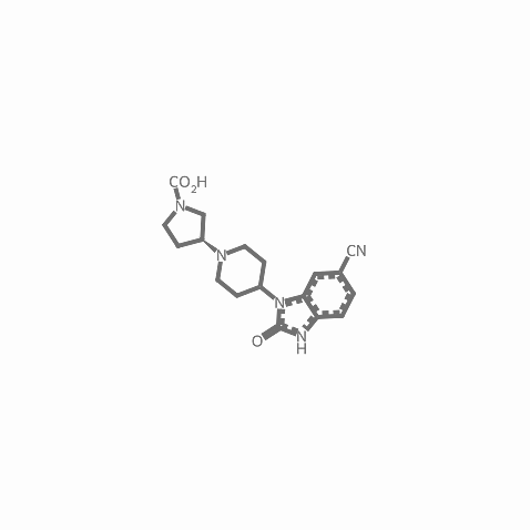 N#Cc1ccc2[nH]c(=O)n(C3CCN([C@H]4CCN(C(=O)O)C4)CC3)c2c1